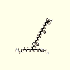 CCCCCC(CCCCC)CCOC(=O)CCCCCCCC(=O)CCCCCC(=O)O